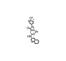 CC(C)[C@H]1CN(c2ccc(C(F)(F)F)nc2)C(=O)N1CC(=O)Nc1cnc2ccccc2c1